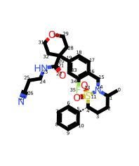 CC1CC[C@H](c2ccccc2)S(=O)(=O)N1Cc1ccc(C2(C(=O)NCCC#N)CCOCC2)cc1F